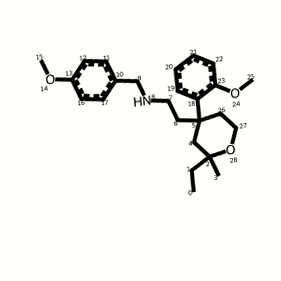 CCC1(C)CC(CCNCc2ccc(OC)cc2)(c2ccccc2OC)CCO1